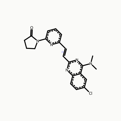 CN(C)c1nc(/C=C/c2cccc(N3CCCC3=O)n2)nc2ccc(Cl)cc12